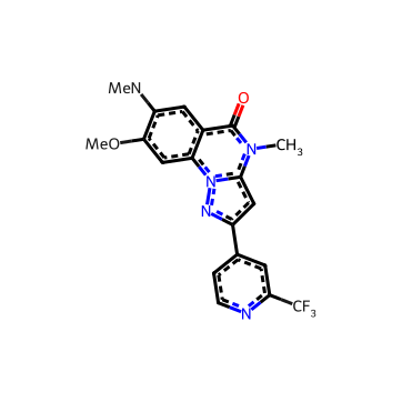 CNc1cc2c(=O)n(C)c3cc(-c4ccnc(C(F)(F)F)c4)nn3c2cc1OC